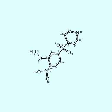 COc1cc(S(=O)(=O)c2ccncc2)ccc1[N+](=O)[O-]